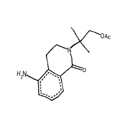 CC(=O)OCC(C)(C)N1CCc2c(N)cccc2C1=O